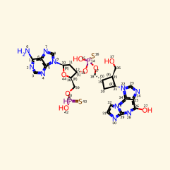 Nc1ncnc2c1ncn2[C@H]1C[C@H](OP(O)(=S)OC[C@H]2C[C@@H](n3cnc4c(O)nc5nccn5c43)[C@@H]2CO)[C@@H](CO[PH](O)=S)O1